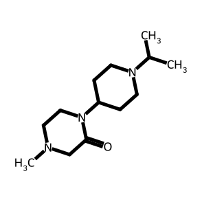 CC(C)N1CCC(N2CCN(C)CC2=O)CC1